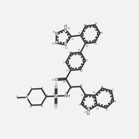 CN1CCC(S(=O)(=O)NC(Cc2c[nH]c3ccccc23)C(=O)c2ccc(-c3ccccc3-c3nnn[nH]3)cc2)CC1